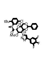 CO[C@@H]1[C@@H](n2cc(-c3cc(F)c(F)c(F)c3)nn2)[C@H]2OC(c3ccccc3)OC[C@H]2O[C@H]1C(=O)N(C)c1cc(Cl)ccc1C(C)(C)C